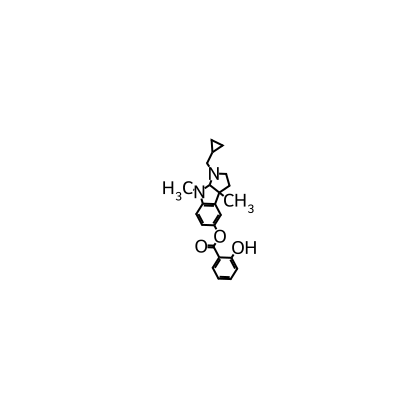 CN1c2ccc(OC(=O)c3ccccc3O)cc2C2(C)CCN(CC3CC3)C12